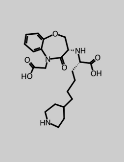 O=C(O)CN1C(=O)[C@@H](N[C@@H](CCCCC2CCNCC2)C(=O)O)COc2ccccc21